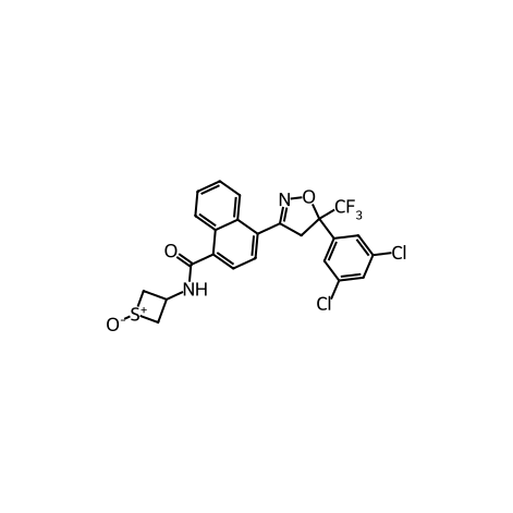 O=C(NC1C[S+]([O-])C1)c1ccc(C2=NOC(c3cc(Cl)cc(Cl)c3)(C(F)(F)F)C2)c2ccccc12